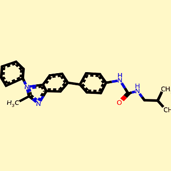 Cc1nc2cc(-c3ccc(NC(=O)NCC(C)C)cc3)ccc2n1-c1ccccc1